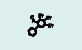 CC(C)c1cc(-c2ccccc2)c(P=O)c(C(C)C)c1C(C)C